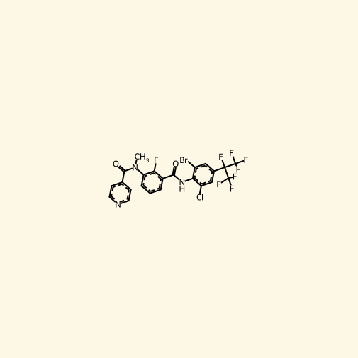 CN(C(=O)c1ccncc1)c1cccc(C(=O)Nc2c(Cl)cc(C(F)(C(F)(F)F)C(F)(F)F)cc2Br)c1F